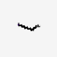 CCCC/C=C/C=C\CCCCCCCCI